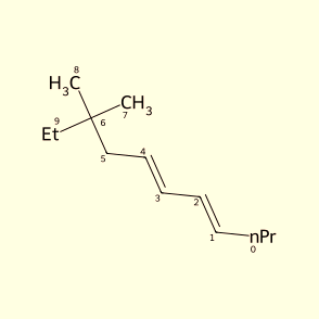 CCCC=CC=CCC(C)(C)CC